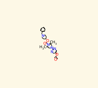 C[C@@H]1CN(c2ncc(OC3COC3)cn2)C[C@H](C)N1C(=O)OC1CCN(Cc2ccccc2)CC1